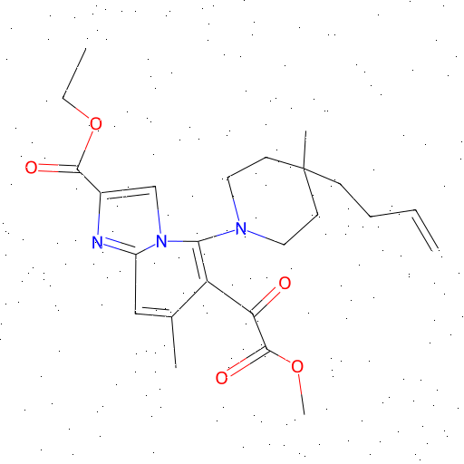 C=CCCC1(C)CCN(c2c(C(=O)C(=O)OC)c(C)cc3nc(C(=O)OCC)cn23)CC1